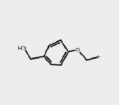 OCc1ccc(OCF)cc1